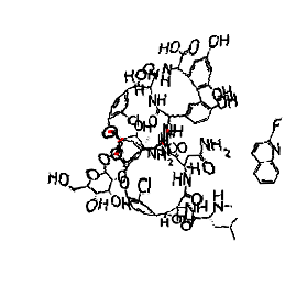 CN[C@H](CC(C)C)C(=O)N[C@H]1C(=O)N[C@@H](CC(N)=O)C(=O)N[C@H]2C(=O)N[C@H]3C(=O)N[C@H](C(=O)N[C@@H](C(=O)O)c4cc(O)cc(O)c4-c4cc3ccc4O)[C@H](O)c3ccc(c(Cl)c3)Oc3cc2cc(c3O[C@@H]2O[C@H](CO)[C@@H](O)[C@H](O)[C@H]2O[C@H]2C[C@](C)(N)C(O)[C@H](C)O2)Oc2ccc(cc2Cl)[C@H]1O.Fc1ccc2ccccc2n1